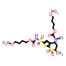 CCN(C(=O)OCCCCO[N+](=O)[O-])[C@H]1CC(C)S(=O)(=O)c2sc(S(=O)(=O)NC(=O)OCCCCO[N+](=O)[O-])cc21